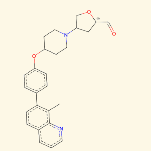 Cc1c(-c2ccc(OC3CCN(C4CO[C@H](C=O)C4)CC3)cc2)ccc2cccnc12